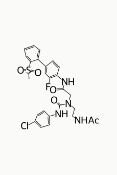 CC(=O)NCCN(CC(=O)Nc1ccc(-c2ccccc2S(C)(=O)=O)cc1F)C(=O)Nc1ccc(Cl)cc1